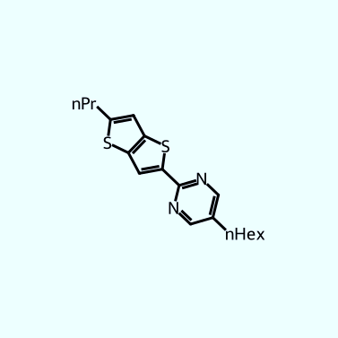 CCCCCCc1cnc(-c2cc3sc(CCC)cc3s2)nc1